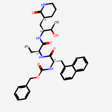 CC(C)C[C@H](NC(=O)[C@H](Cc1cccc2ccccc12)NC(=O)OCc1ccccc1)C(=O)N[C@@H](C[C@@H]1CCCNC1=O)C(O)C#N